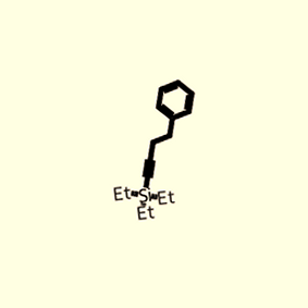 CC[Si](C#CCCc1ccccc1)(CC)CC